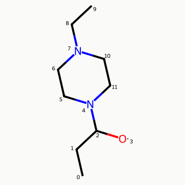 CCC([O])N1CCN(CC)CC1